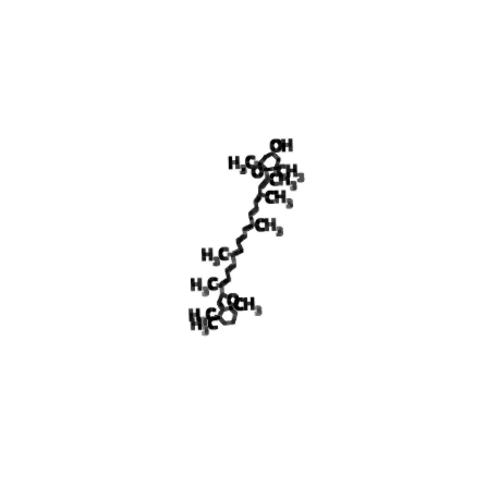 CC(/C=C/C=C(C)/C=C/C12OC1(C)C[C@H](O)CC2(C)C)=C\C=C\C=C(C)\C=C\C=C(/C)C1C=C2C(C)(C)CCCC2(C)O1